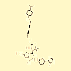 Cc1ncsc1-c1ccc(CNC(=O)[C@@H]2C[C@@H](O)CN2C(=O)[C@@H](NC(=O)COCC#CC#CCOc2ccc(C(C)C)cc2)C(C)(C)C)cc1